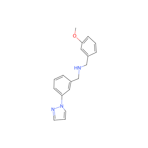 COc1cccc(CNCc2cccc(-n3cccn3)c2)c1